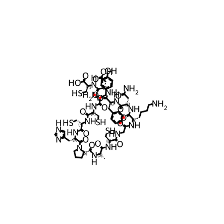 C[C@H](NC(=O)[C@@H]1CCCN1C(=O)[C@H](Cc1c[nH]cn1)NC(=O)[C@H](CS)NC(=O)[C@H](CS)NC(=O)[C@@H](N)Cc1ccc(O)cc1)C(=O)N[C@@H](CS)C(=O)NCC(=O)N[C@@H](CCCCN)C(=O)N[C@@H](CC(N)=O)C(=O)N[C@@H](Cc1ccccc1)C(=O)N[C@@H](CC(=O)O)C(=O)N[C@@H](CS)C(=O)O